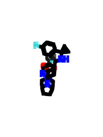 N#Cc1ccc(N2C3CCC2CN(C(=O)CCNC2(c4ccc(F)cc4F)CC2)C3)nc1